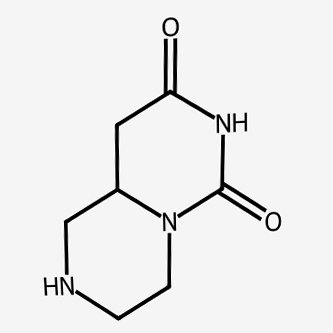 O=C1CC2CNCCN2C(=O)N1